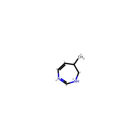 CC1C=CN=CNC1